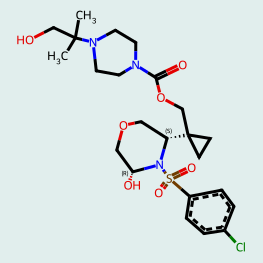 CC(C)(CO)N1CCN(C(=O)OCC2([C@H]3COC[C@@H](O)N3S(=O)(=O)c3ccc(Cl)cc3)CC2)CC1